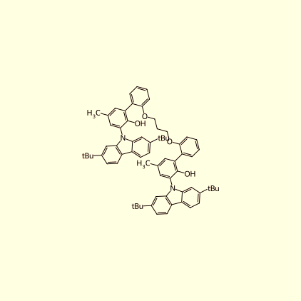 Cc1cc(-c2ccccc2OCCCOc2ccccc2-c2cc(C)cc(-n3c4cc(C(C)(C)C)ccc4c4ccc(C(C)(C)C)cc43)c2O)c(O)c(-n2c3cc(C(C)(C)C)ccc3c3ccc(C(C)(C)C)cc32)c1